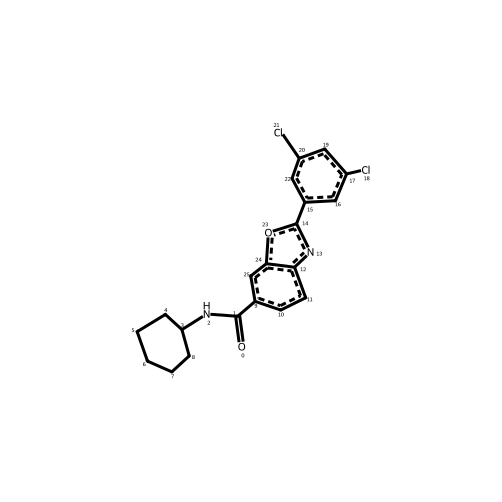 O=C(NC1CCCCC1)c1ccc2nc(-c3cc(Cl)cc(Cl)c3)oc2c1